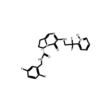 O=C(NCc1cc(F)ccc1F)[C@@H]1CCc2cnc(NCC(F)(F)c3cccc[n+]3[O-])c(=O)n21